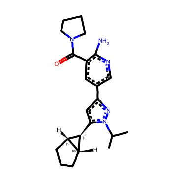 CC(C)n1nc(-c2cnc(N)c(C(=O)N3CCCC3)c2)cc1[C@H]1[C@@H]2CCC[C@@H]21